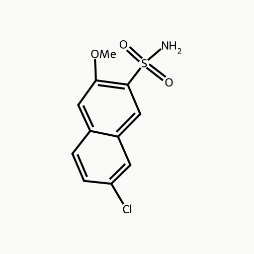 COc1cc2ccc(Cl)cc2cc1S(N)(=O)=O